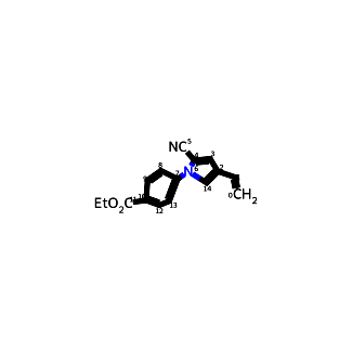 C=Cc1cc(C#N)n(-c2ccc(C(=O)OCC)cc2)c1